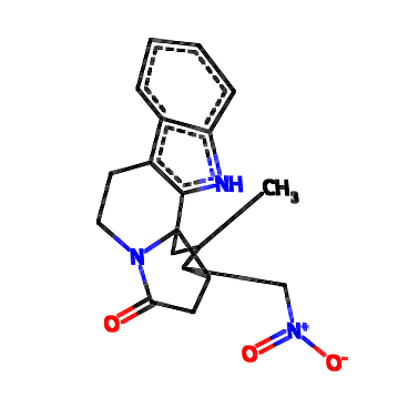 CC1CC23c4[nH]c5ccccc5c4CCN2C(=O)CC3C1C[N+](=O)[O-]